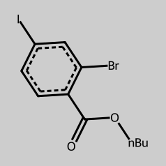 CCCCOC(=O)c1ccc(I)cc1Br